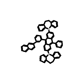 c1ccc(-c2c3ccc(N4c5ccccc5CCc5ccccc54)cc3c(-c3cccc(-c4ccc5ccccc5c4)c3)c3ccc(N4c5ccccc5CCc5ccccc54)cc23)cc1